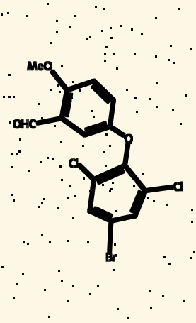 COc1ccc(Oc2c(Cl)cc(Br)cc2Cl)cc1C=O